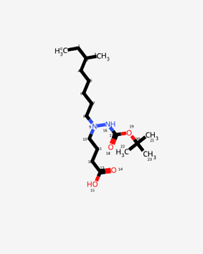 CCC(C)CCCCCN(CCCC(=O)O)NC(=O)OC(C)(C)C